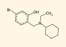 CCN(Cc1ccc(Br)cc1O)C1CCCCC1